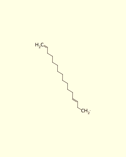 [CH2]CC=CCCCCCCCCCCC=C